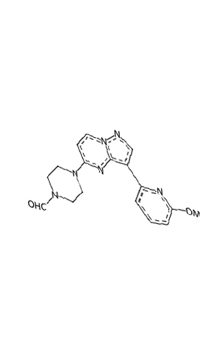 COc1cccc(-c2cnn3ccc(N4CCN(C=O)CC4)nc23)n1